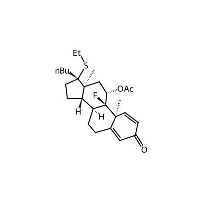 CCCC[C@]1(SCC)CC[C@H]2[C@@H]3CCC4=CC(=O)C=C[C@]4(C)[C@@]3(F)[C@@H](OC(C)=O)C[C@@]21C